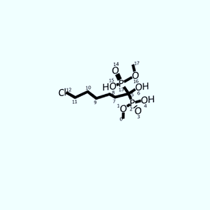 COP(=O)(O)C(O)(CCCCCCl)P(=O)(O)OC